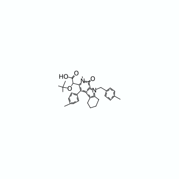 Cc1ccc(Cn2c3c(c4c(-c5ccc(C)cc5)c(C(OC(C)(C)C)C(=O)O)n(C)c(=O)c42)CCCC3)cc1